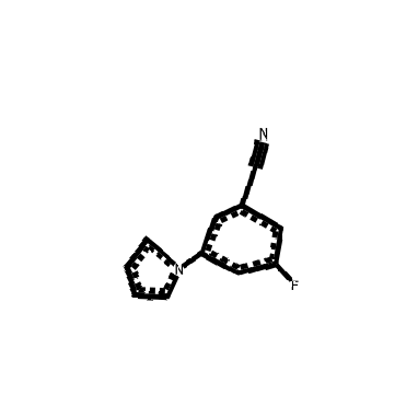 N#Cc1cc(F)cc(-n2cccc2)c1